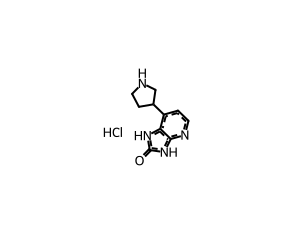 Cl.O=c1[nH]c2nccc(C3CCNC3)c2[nH]1